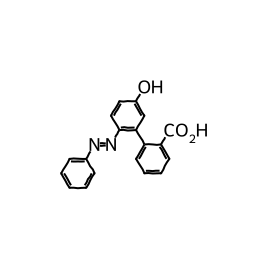 O=C(O)c1ccccc1-c1cc(O)ccc1N=Nc1ccccc1